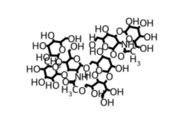 CC(=O)NC1C(OC2C(O)C(COC3OC(CO)C(OC4OC(CO)C(O)C(O)C4O)C(OC4OC(C)C(O)C(O)C4O)C3NC(C)=O)OC(OC(C(O)CO)C(O)C(O)C=O)C2O)OC(CO)C(O)C1OC1OC(CO)C(O)C(O)C1O